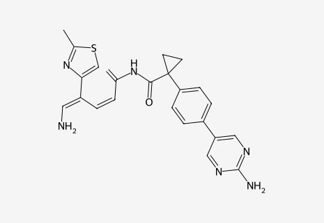 C=C(/C=C\C(=C/N)c1csc(C)n1)NC(=O)C1(c2ccc(-c3cnc(N)nc3)cc2)CC1